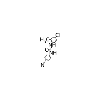 Cc1cc(Cl)ccc1NCC(=O)Nc1ccc(C#N)cc1